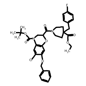 CCOC(=O)C1(Cc2ccc(F)cc2)CCN(C(=O)C2CN(C(=O)OC(C)(C)C)c3cc(Cl)c(OCc4ccccc4)cc3O2)CC1